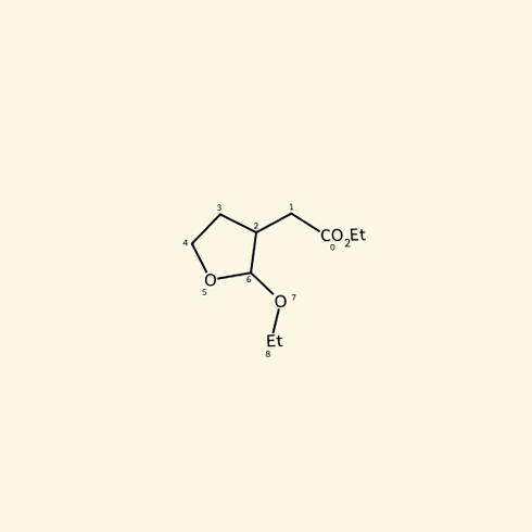 CCOC(=O)CC1CCOC1OCC